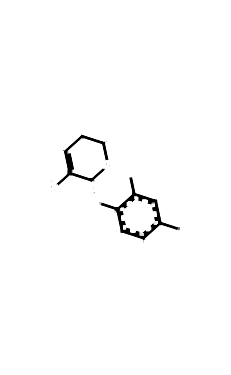 NC1=CCCN[C@@H]1Oc1ccc(F)cc1F